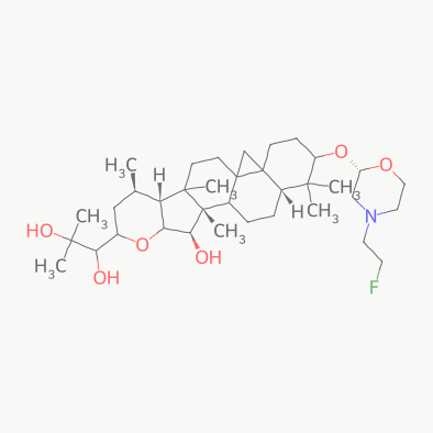 C[C@@H]1CC(C(O)C(C)(C)O)OC2[C@H]1C1(C)CCC34CC35CCC(O[C@H]3CN(CCF)CCO3)C(C)(C)[C@@H]5CCC4[C@]1(C)[C@H]2O